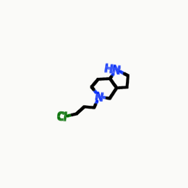 ClCCCN1CCC2NCCC2C1